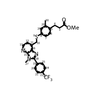 COC(=O)CCc1ccc(SCc2ccnc3c2nc(-c2ccc(C(F)(F)F)cc2)n3C)cc1C